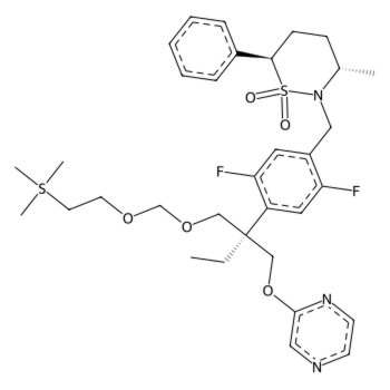 CC[C@@](COCOCCS(C)(C)C)(COc1cnccn1)c1cc(F)c(CN2[C@@H](C)CC[C@H](c3ccccc3)S2(=O)=O)cc1F